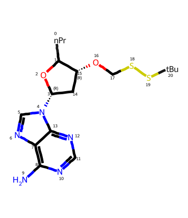 CCCC1O[C@@H](n2cnc3c(N)ncnc32)C[C@H]1OCSSC(C)(C)C